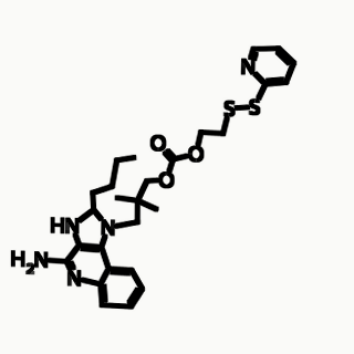 CCCCC1Nc2c(N)nc3ccccc3c2N1CC(C)(C)COC(=O)OCCSSc1ccccn1